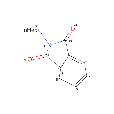 CCCCCCCN1C(=O)c2ccccc2C1=O